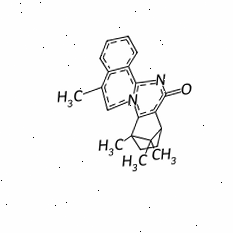 Cc1cn2c3c(c(=O)nc2c2ccccc12)C1CCC3(C)C1(C)C